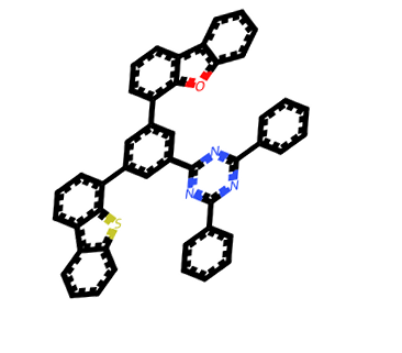 c1ccc(-c2nc(-c3ccccc3)nc(-c3cc(-c4cccc5c4oc4ccccc45)cc(-c4cccc5c4sc4ccccc45)c3)n2)cc1